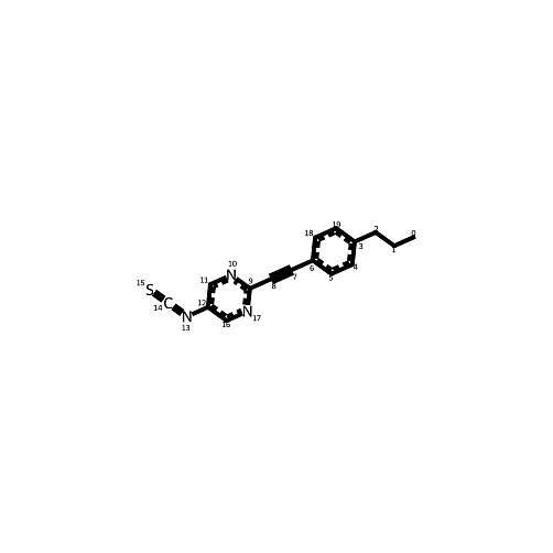 CCCc1ccc(C#Cc2ncc(N=C=S)cn2)cc1